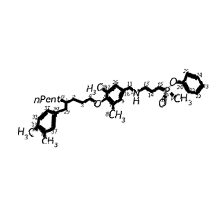 CCCCCC(CCCOc1c(C)cc(CNCCCP(C)(=O)Oc2ccccc2)cc1C)Cc1ccc(C)c(C)c1